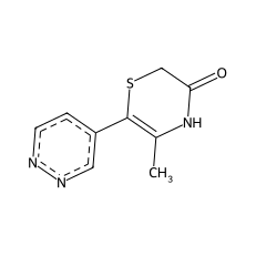 CC1=C(c2ccnnc2)SCC(=O)N1